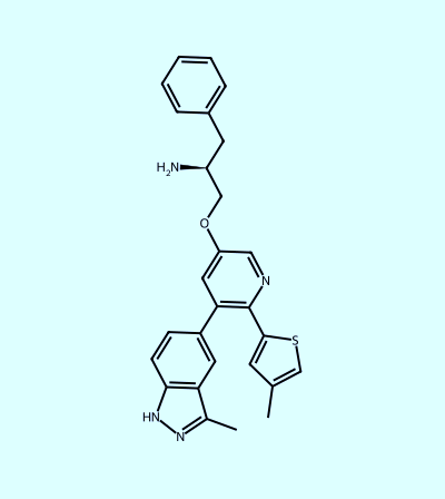 Cc1csc(-c2ncc(OC[C@@H](N)Cc3ccccc3)cc2-c2ccc3[nH]nc(C)c3c2)c1